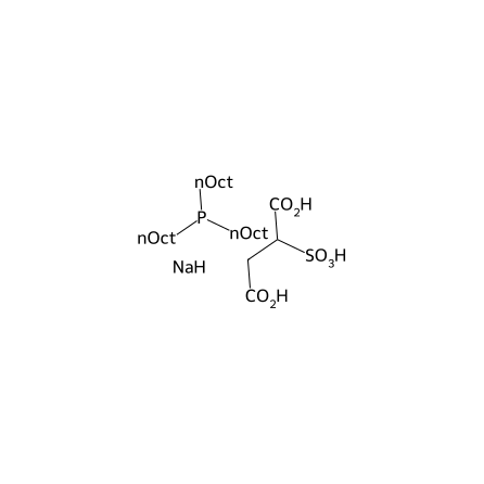 CCCCCCCCP(CCCCCCCC)CCCCCCCC.O=C(O)CC(C(=O)O)S(=O)(=O)O.[NaH]